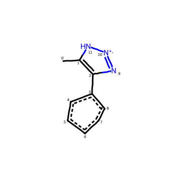 CC1=C(c2ccccc2)N=[N+]N1